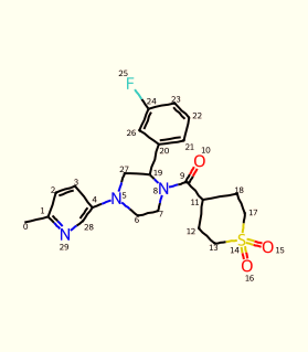 Cc1ccc(N2CCN(C(=O)C3CCS(=O)(=O)CC3)C(c3cccc(F)c3)C2)cn1